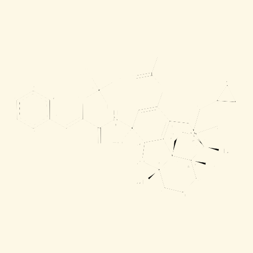 CC(=O)OC1=CC(O)(NC(=O)C(=Cc2ccccc2)OC(F)(F)F)C2O[C@H]3CCC[C@H]4[C@H]5CC1=C2[C@@]34CC[N+]5(C)CC1CC1